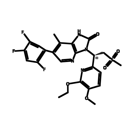 CCOc1nc([C@@H](CS(C)(=O)=O)n2c(=O)[nH]c3c(C)c(-c4cc(F)c(F)cc4F)cnc32)ccc1OC